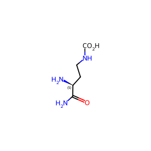 NC(=O)[C@@H](N)CCNC(=O)O